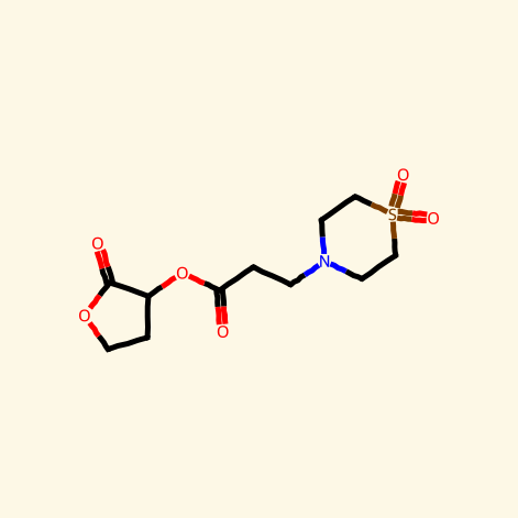 O=C(CCN1CCS(=O)(=O)CC1)OC1CCOC1=O